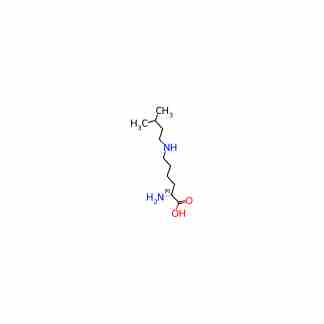 CC(C)CCNCCCC[C@@H](N)C(=O)O